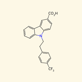 O=C(O)c1ccc2c(c1)c1ccccc1n2CCc1ccc(C(F)(F)F)cc1